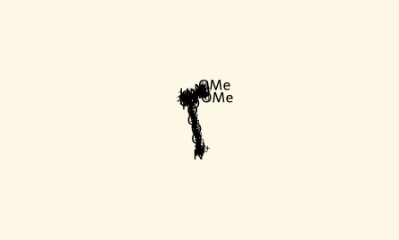 COc1cc(N[C@@H]2CO[C@H](COCCOCCOCCOCCN=[N+]=[N-])[C@@H]3OC(C)(C)O[C@@H]32)nc(OC)n1